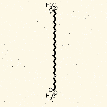 COC(=O)CCCCCCCCCCCCCCCCCCCCCCCCCCCC(=O)OC